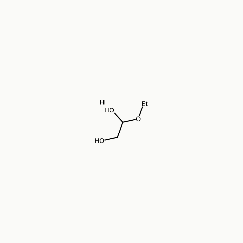 CCOC(O)CO.I